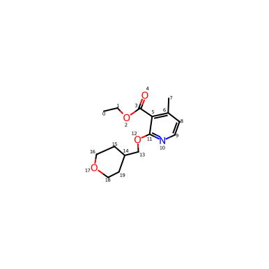 CCOC(=O)c1c(C)ccnc1OCC1CCOCC1